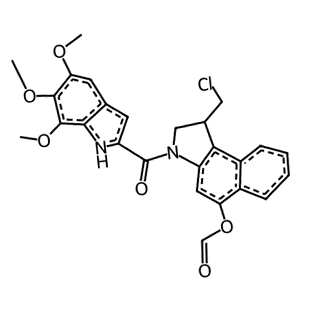 COc1cc2cc(C(=O)N3CC(CCl)c4c3cc(OC=O)c3ccccc43)[nH]c2c(OC)c1OC